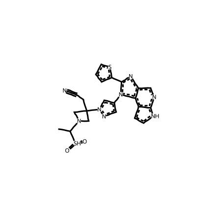 CC(N1CC(CC#N)(n2cc(-n3c(-c4cccs4)nc4cnc5[nH]ccc5c43)cn2)C1)[SH](=O)=O